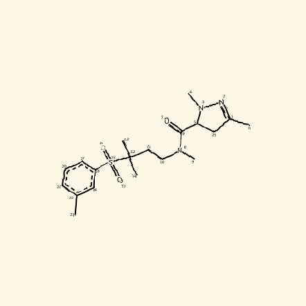 CC1=NN(C)C(C(=O)N(C)CCC(C)(C)S(=O)(=O)c2cccc(C)c2)C1